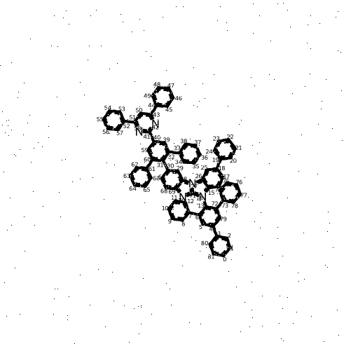 c1ccc(-c2cc(-c3ccccc3)c(-n3c4ccc(-c5ccccc5)cc4n4c5cc(-c6c(-c7ccccc7)cc(-c7nc(-c8ccccc8)cc(-c8ccccc8)n7)cc6-c6ccccc6)ccc5nc34)c(-c3ccccc3)c2)cc1